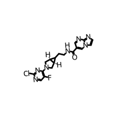 O=C(NCCC1[C@H]2CN(c3nc(Cl)ncc3F)C[C@@H]12)c1cnc2nccn2c1